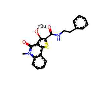 CCCCOc1c(C(=O)NCCc2ccccc2)sc2c1c(=O)n(C)c1ccccc21